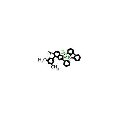 Cc1cc(C)cc(-c2c(C(C)C)ccc3c2C=C(c2ccccc2)[CH]3[Zr]([Cl])([Cl])[c]2cccc3c2[SiH2]c2ccccc2-3)c1